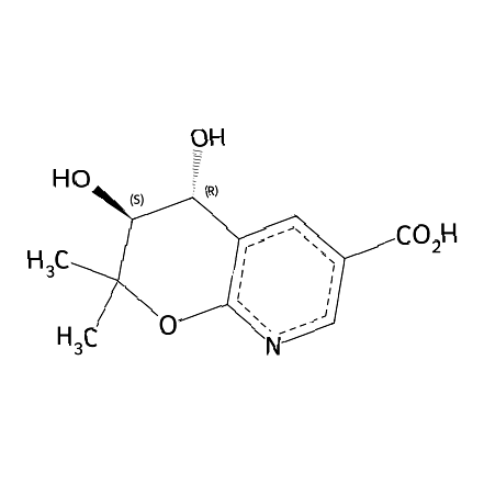 CC1(C)Oc2ncc(C(=O)O)cc2[C@@H](O)[C@@H]1O